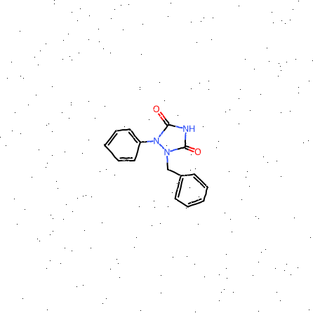 O=c1[nH]c(=O)n(-c2ccccc2)n1Cc1ccccc1